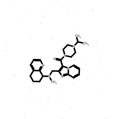 CC(C)N1CCN(C(=O)c2c(CN(C)C3CCCc4cccnc43)nc3ccccn23)CC1